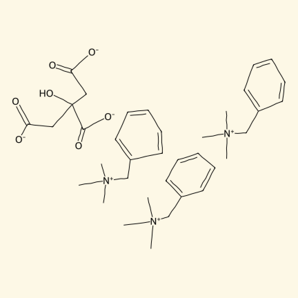 C[N+](C)(C)Cc1ccccc1.C[N+](C)(C)Cc1ccccc1.C[N+](C)(C)Cc1ccccc1.O=C([O-])CC(O)(CC(=O)[O-])C(=O)[O-]